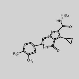 CC[C@@H](C)NC(=O)c1nn2cc(-c3ccc(C(F)(F)F)c(C)c3)[nH]c(=O)c2c1C1CC1